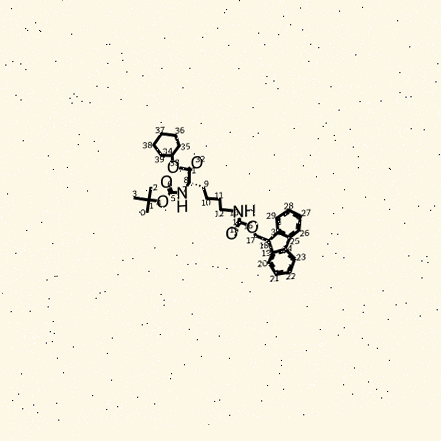 CC(C)(C)OC(=O)N[C@@H](CCCCNC(=O)OCC1c2ccccc2-c2ccccc21)C(=O)OC1CCCCC1